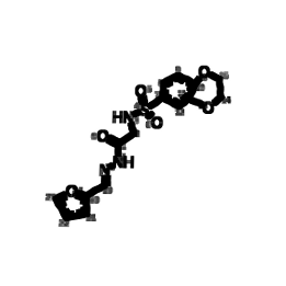 O=C(CNS(=O)(=O)c1ccc2c(c1)OCCO2)N/N=C/c1ccco1